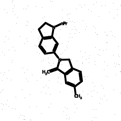 C=C1c2cc(C)ccc2CN1c1ccc2c(c1)N(CCC)CC2